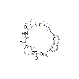 CC(C)C1C(=O)N[C@@H](C)C(=O)N2CCC[C@H](N2)C(=O)O[C@H](C)c2ccc3ccc(cc3n2)/C=C/C(C)(C)CN1C